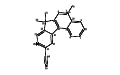 C[n+]1cc2c(c3ccccc31)-c1cc(C#N)ncc1C2(C)C